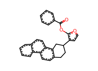 O=C(Oc1occc1C1CCc2ccc3c(ccc4ccccc43)c2C1)c1ccccc1